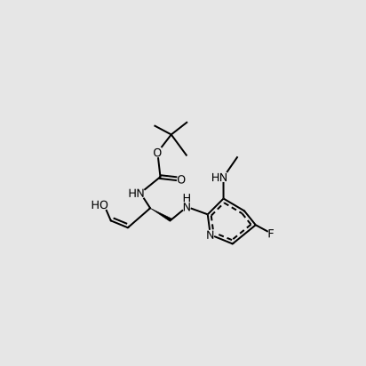 CNc1cc(F)cnc1NC[C@@H](/C=C\O)NC(=O)OC(C)(C)C